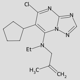 C=C(C)CN(CC)c1c(C2CCCC2)c(Cl)nc2ncnn12